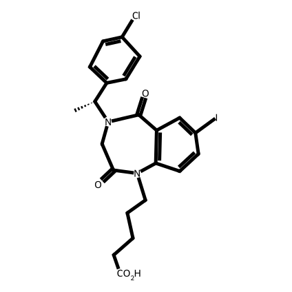 C[C@H](c1ccc(Cl)cc1)N1CC(=O)N(CCCCC(=O)O)c2ccc(I)cc2C1=O